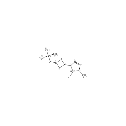 Cc1cnn(C2CN(CC(C)(C)O)C2)c1I